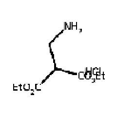 CCOC(=O)C(CN)C(=O)OCC.Cl